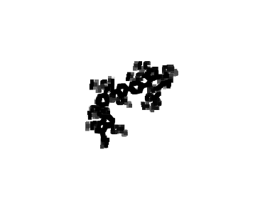 COC(=O)C[C@@H]1N=C(c2ccc(-c3ccc(C(=O)N[C@H](C)c4ccc(S(=O)(=O)Nc5ccc(C)c6c(C#N)c[nH]c56)cc4)c(C)c3)cc2)c2c(sc(C)c2C)-n2c(C)nnc21